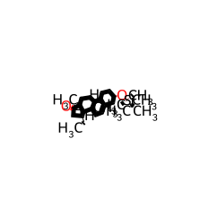 CC[C@@H]1CC(=O)[C@@]2(C)CC[C@H]3[C@@H](CC=C4C[C@@H](O[Si](C)(C)C(C)(C)C)CC[C@@]43C)[C@H]12